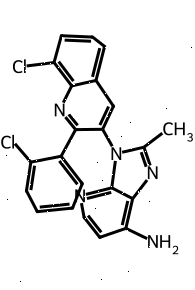 Cc1nc2c(N)ccnc2n1-c1cc2cccc(Cl)c2nc1-c1ccccc1Cl